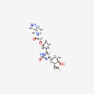 Cc1cc(-c2cc(-c3cccc(OCC(=O)N4CCCC(CN)C4)c3)[nH]c(=O)n2)ccc1O